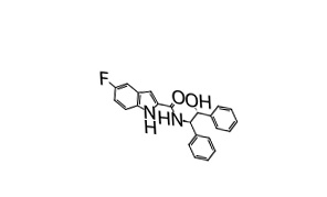 O=C(N[C@H](c1ccccc1)[C@H](O)c1ccccc1)c1cc2cc(F)ccc2[nH]1